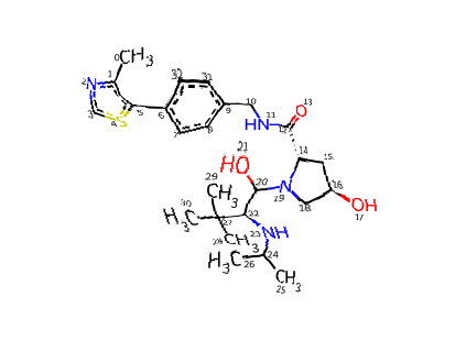 Cc1ncsc1-c1ccc(CNC(=O)[C@@H]2C[C@@H](O)CN2C(O)[C@@H](NC(C)C)C(C)(C)C)cc1